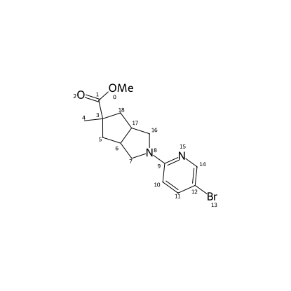 COC(=O)C1(C)CC2CN(c3ccc(Br)cn3)CC2C1